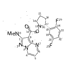 CNc1nn2cccnc2c1C(=O)ON1CCC[C@@H]1c1cc(F)ccc1F